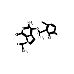 C[C@@H](Oc1c(N)nc(Cl)c2c1ccn2C(N)=O)c1c(Cl)ccc(F)c1Cl